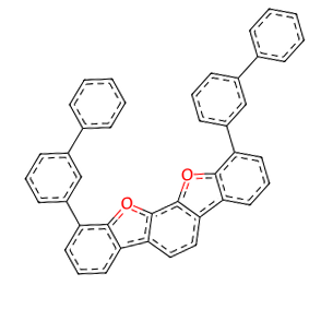 c1ccc(-c2cccc(-c3cccc4c3oc3c4ccc4c5cccc(-c6cccc(-c7ccccc7)c6)c5oc43)c2)cc1